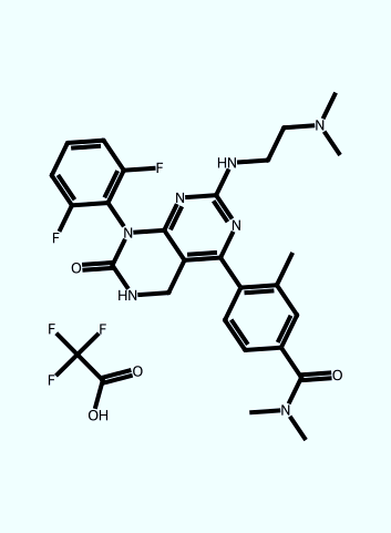 Cc1cc(C(=O)N(C)C)ccc1-c1nc(NCCN(C)C)nc2c1CNC(=O)N2c1c(F)cccc1F.O=C(O)C(F)(F)F